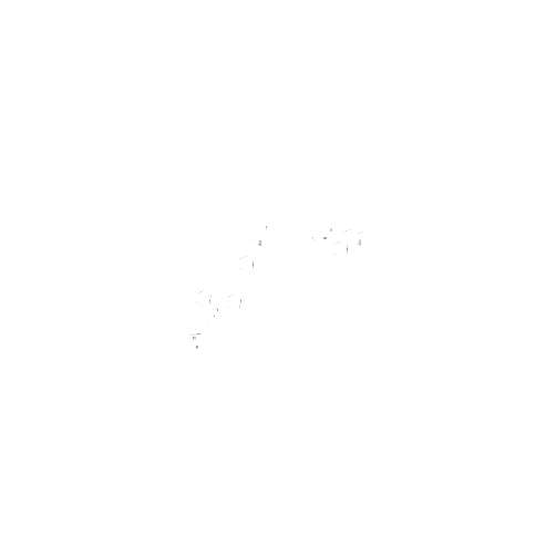 O=C(N[C@@H](c1ccccc1)c1cccc(OCc2ccc(C(=O)NC(CC3CCCCC3)C(=O)OCCCCNC[C@H](O)c3ccc(O)c4[nH]c(=O)ccc34)cc2)c1)O[C@H]1CN2CCC1CC2